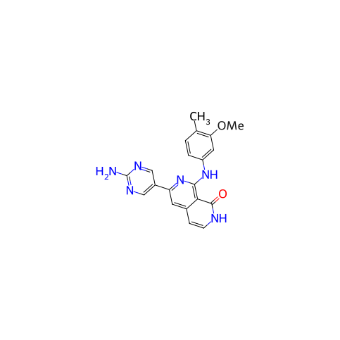 COc1cc(Nc2nc(-c3cnc(N)nc3)cc3cc[nH]c(=O)c23)ccc1C